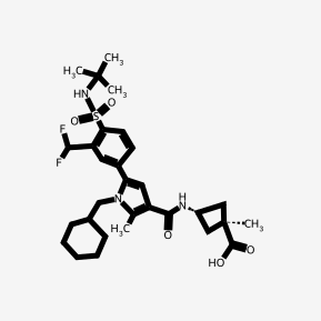 Cc1c(C(=O)N[C@H]2C[C@](C)(C(=O)O)C2)cc(-c2ccc(S(=O)(=O)NC(C)(C)C)c(C(F)F)c2)n1CC1CCCCC1